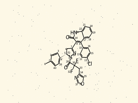 Cc1ccc([C@@H]2CC(c3c(-c4ccc(Cl)cc4)c4ccccc4[nH]c3=O)=NN2C(=O)C(F)(F)Cc2cocn2)cc1